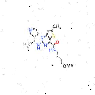 COCCCCNC(=O)c1nc(N[C@@H](C)c2cccnc2)nc2cc(C)sc12